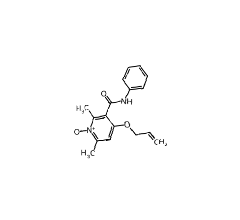 C=CCOc1cc(C)[n+]([O-])c(C)c1C(=O)Nc1ccccc1